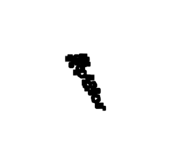 Cc1ccc(S(=O)(=O)n2ccc3c(N[C@H]4CC[C@@H]5CC(N(C(=O)O)C(C)(C)C)C(=O)N5C4)ncnc32)cc1